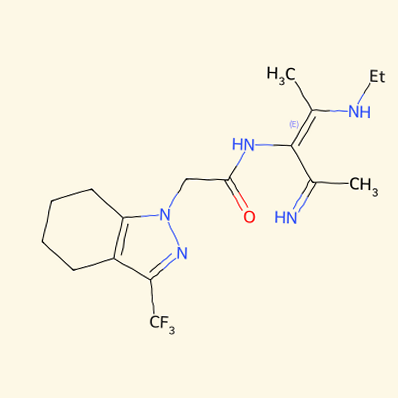 CCN/C(C)=C(/NC(=O)Cn1nc(C(F)(F)F)c2c1CCCC2)C(C)=N